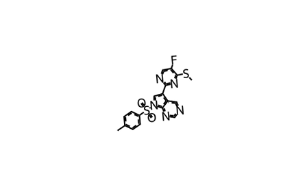 CSc1nc(-c2cn(S(=O)(=O)c3ccc(C)cc3)c3ncncc23)ncc1F